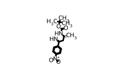 C[C@H](CC(=N)c1ccc([N+](=O)[O-])cc1)NC(=O)OC(C)(C)C